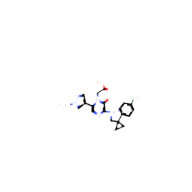 Cn1cc(-c2cnc(NCC3(c4ccc(Cl)cc4)CC3)c(=O)n2CC(=O)O)cn1